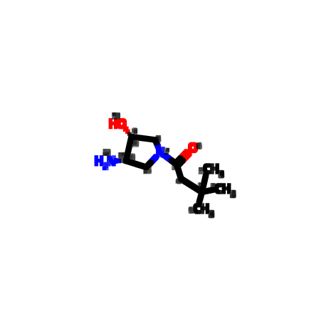 CC(C)(C)CC(=O)N1C[C@@H](O)[C@@H](N)C1